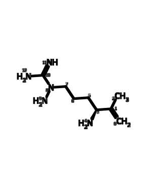 C=C(C)[C@@H](N)CCCN(N)C(=N)N